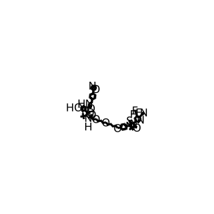 CC(C)(C)[C@H](NC(=O)COCCCOCCCCOc1ccc(N2C(=S)N(c3cnc(C#N)c(C(F)(F)F)c3)C(=O)C2(C)C)cc1)C(=O)N1C[C@H](O)C[C@H]1C(=O)NCc1ccc(-c2cnco2)cc1